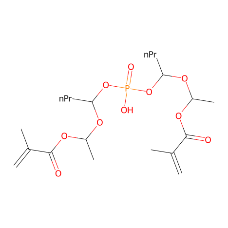 C=C(C)C(=O)OC(C)OC(CCC)OP(=O)(O)OC(CCC)OC(C)OC(=O)C(=C)C